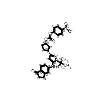 CC(C)(C)n1nc([C@H]2CC[C@@H](OC(=O)Oc3ccc([N+](=O)[O-])cc3)C2)cc1Nc1ccc2c(c1)CCC2=O